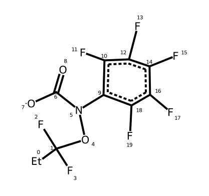 CCC(F)(F)ON(C([O])=O)c1c(F)c(F)c(F)c(F)c1F